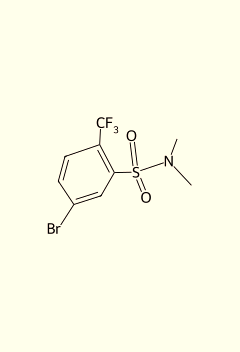 CN(C)S(=O)(=O)c1cc(Br)ccc1C(F)(F)F